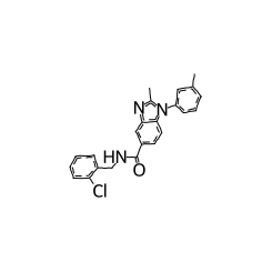 Cc1cccc(-n2c(C)nc3cc(C(=O)NCc4ccccc4Cl)ccc32)c1